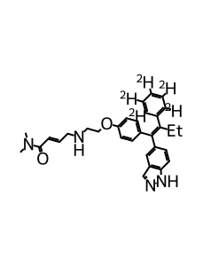 [2H]c1c([2H])c([2H])c(/C(CC)=C(\c2ccc(OCCNC/C=C/C(=O)N(C)C)cc2)c2ccc3[nH]ncc3c2)c([2H])c1[2H]